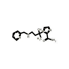 CC(C)(CCNCc1ccccn1)n1c[c]nc1C(N)=O